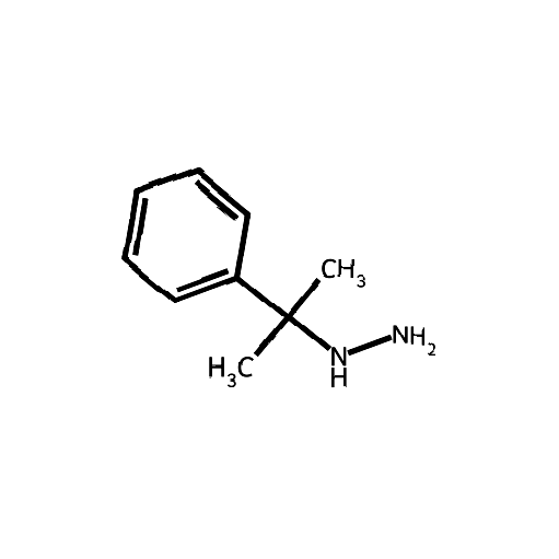 CC(C)(NN)c1ccccc1